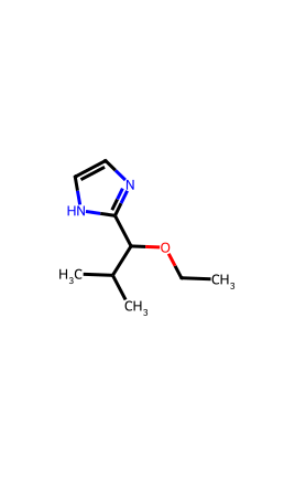 CCOC(c1ncc[nH]1)C(C)C